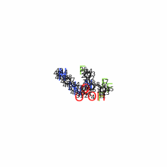 O=C(/C=C(/O)c1cc(Cc2cc(F)cc(F)c2F)cn(Cc2cccc(F)c2)c1=O)C(=O)N1CCN(c2ccc(-n3cccn3)cc2)CC1